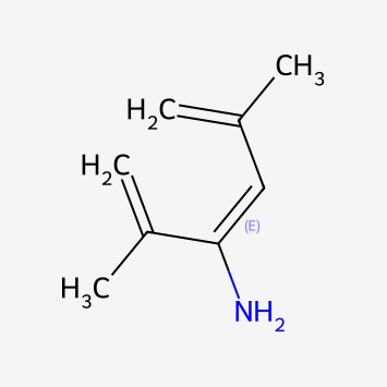 C=C(C)/C=C(/N)C(=C)C